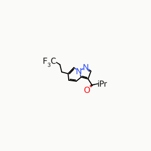 CC(C)C(=O)c1cnn2cc(CCC(F)(F)F)ccc12